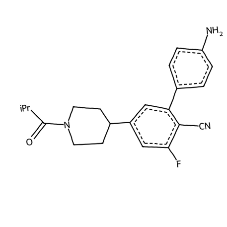 CC(C)C(=O)N1CCC(c2cc(F)c(C#N)c(-c3ccc(N)cc3)c2)CC1